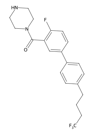 O=C(c1cc(-c2ccc(CCCC(F)(F)F)cc2)ccc1F)N1CCNCC1